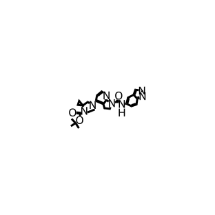 Cn1cc2cc(NC(=O)N3CCc4c(N5CCN(C(=O)OC(C)(C)C)C6(CC6)C5)ccnc43)ccc2n1